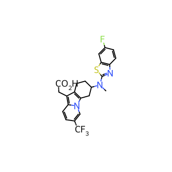 CN(c1nc2ccc(F)cc2s1)C1CCc2c(CC(=O)O)c3ccc(C(F)(F)F)cn3c2C1